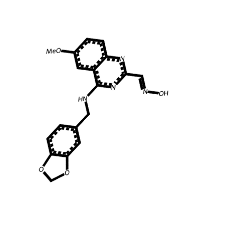 COc1ccc2nc(C=NO)nc(NCc3ccc4c(c3)OCO4)c2c1